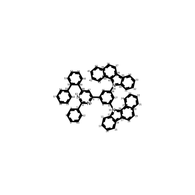 c1ccc(-c2nc(-c3cc(-n4c5ccccc5c5ccc6ccccc6c54)cc(-n4c5ccccc5c5ccc6ccccc6c54)c3)cc(-c3ccccc3-c3ccccc3)n2)cc1